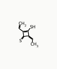 C=CC1=C(S)/C(=C/C)C1=S